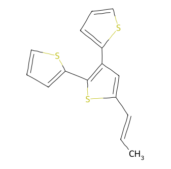 CC=Cc1cc(-c2cccs2)c(-c2cccs2)s1